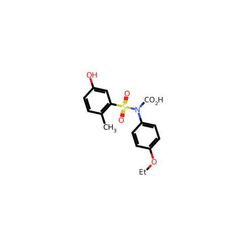 CCOc1ccc(N(C(=O)O)S(=O)(=O)c2cc(O)ccc2C)cc1